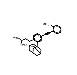 COC(CCc1ccc(C#Cc2ccccc2C(=O)O)cc1C12CC3CC(CC(C3)C1)C2)OC